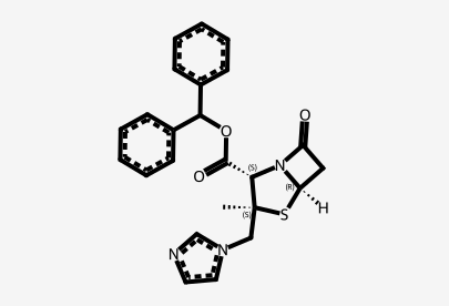 C[C@@]1(Cn2ccnc2)S[C@@H]2CC(=O)N2[C@H]1C(=O)OC(c1ccccc1)c1ccccc1